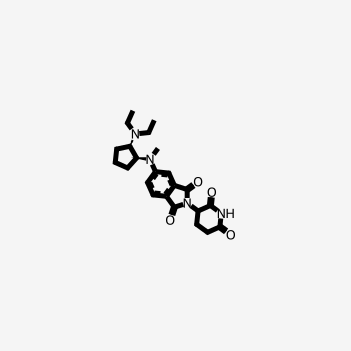 CCN(CC)[C@H]1CCC[C@@H]1N(C)c1ccc2c(c1)C(=O)N(C1CCC(=O)NC1=O)C2=O